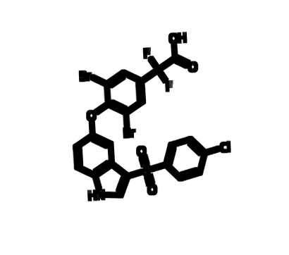 O=C(O)C(F)(F)c1cc(Br)c(Oc2ccc3[nH]cc(S(=O)(=O)c4ccc(Cl)cc4)c3c2)c(Br)c1